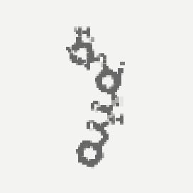 Nc1cc(Oc2ccc(NC(=O)NC(=O)Cc3ccccc3)cc2F)ncn1